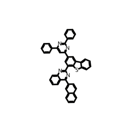 c1ccc(-c2cc(-c3cc(-c4nc(-c5ccc6ccccc6c5)c5ccccc5n4)c4sc5ccccc5c4c3)nc(-c3ccccc3)n2)cc1